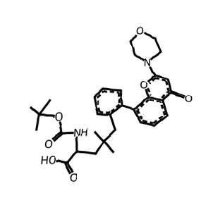 CC(C)(Cc1ccccc1-c1cccc2c(=O)cc(N3CCOCC3)oc12)CC(NC(=O)OC(C)(C)C)C(=O)O